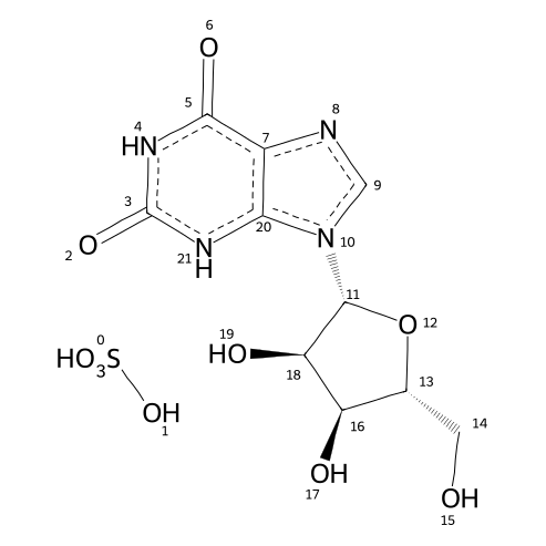 O=S(=O)(O)O.O=c1[nH]c(=O)c2ncn([C@@H]3O[C@H](CO)[C@@H](O)[C@H]3O)c2[nH]1